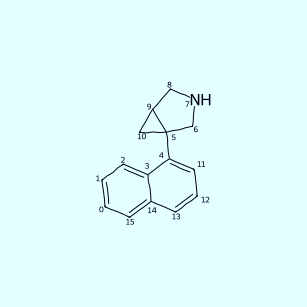 c1ccc2c(C34CNCC3C4)cccc2c1